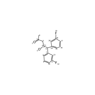 CC(=O)C[S+]([O-])C(c1cccc(F)c1)c1cccc(F)c1